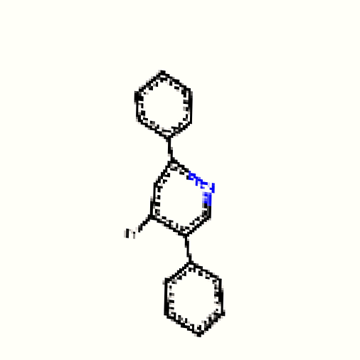 CC(C)c1cc(-c2ccccc2)ncc1-c1ccccc1